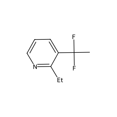 CCc1ncccc1C(C)(F)F